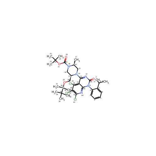 CC(C)c1ccccc1-n1c(=O)nc(N2C[C@H](C)N(C(=O)OC(C)(C)C)C[C@@H]2CO[Si](C)(C)C(C)(C)C)c2c(Cl)c(Cl)c(Cl)nc21